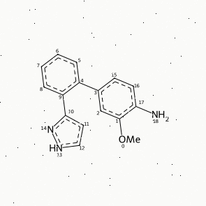 COc1cc(-c2ccccc2-c2cc[nH]n2)ccc1N